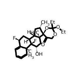 CCOC1(CC)OCC(=O)[C@@]2(O1)[C@@H](C)C[C@H]1[C@@H]3C[C@H](F)C4=CC=C=C[C@]4(C)[C@@]3(F)[C@@H](O)C[C@@]12C